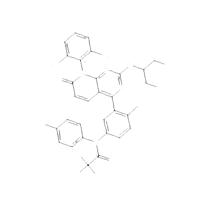 Cc1ccc(N(C(=O)C(F)(F)F)c2ccc(F)cc2)cc1-c1nc(NC(CO)CO)nc2c1ccc(=O)n2-c1c(F)cccc1F